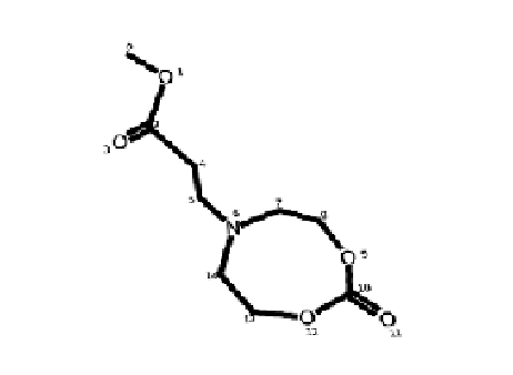 COC(=O)CCN1CCOC(=O)OCC1